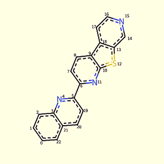 c1ccc2nc(-c3ccc4c(n3)sc3cnccc34)ccc2c1